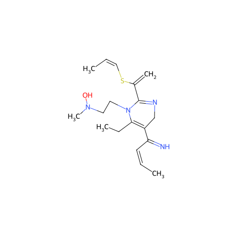 C=C(S/C=C\C)C1=NCC(C(=N)/C=C\C)=C(CC)N1CCN(C)O